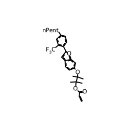 C=CC(=O)OC(C)(C)C(C)(C)Oc1ccc2cc(-c3ccc(CCCCC)cc3C(F)(F)F)oc2c1